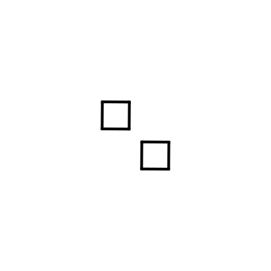 C1CCC1.C1CCC1